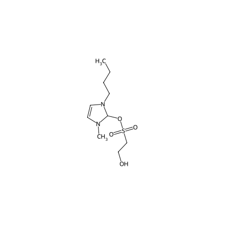 CCCCN1C=CN(C)C1OS(=O)(=O)CCO